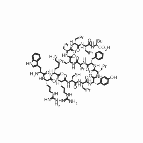 CC[C@H](C)[C@H](NC(=O)[C@H](CC(C)C)NC(=O)[C@H](CC(C)C)NC(=O)[C@H](CC(C)C)NC(=O)[C@H](CC(C)C)NC(=O)[C@@H](NC(=O)[C@H](Cc1ccccc1)NC(=O)[C@H](CC(C)C)NC(=O)[C@H](Cc1ccc(O)cc1)NC(=O)[C@H](CC(C)C)NC(=O)[C@H](CS)NC(=O)[C@H](CCCNC(=N)N)NC(=O)[C@H](CCCCN)NC(=O)[C@H](CCCNC(=N)N)NC(=O)[C@@H](N)Cc1c[nH]c2ccccc12)C(C)C)C(=O)O